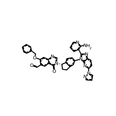 Nc1ncccc1-c1nc2ccc(-n3cccn3)nc2n1-c1ccc2c(c1)CC[C@@H]2n1cnc2cc(OCc3ccccc3)c(C=O)cc2c1=O